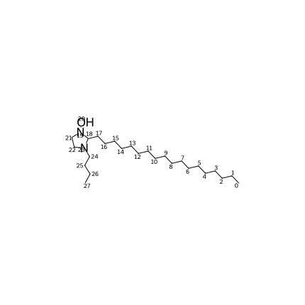 CCCCCCCCCCCCCCCCCCC1N(O)CCN1CCCC